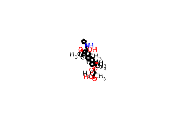 CC(C)C1=C2[C@H]3CC[C@@H]4[C@@]5(C)CC[C@H](OC(=O)CC(C)(C)C(=O)O)C(C)(C)[C@@H]5CC[C@@]4(C)[C@]3(C)CC[C@@]2([C@@H](O)CNC2CCCC2)CC1=O